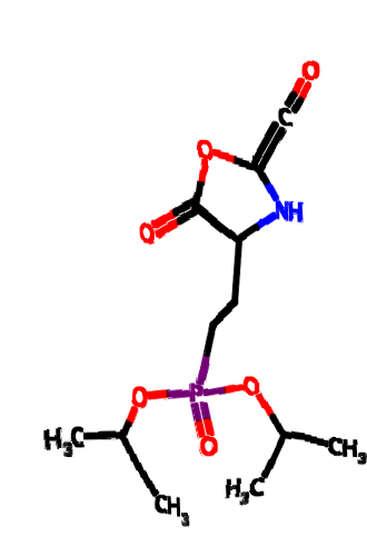 CC(C)OP(=O)(CCC1NC(=C=O)OC1=O)OC(C)C